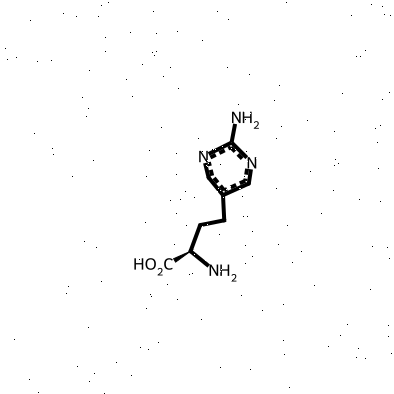 Nc1ncc(CC[C@@H](N)C(=O)O)cn1